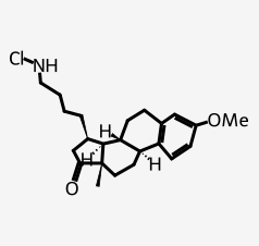 COc1ccc2c(c1)CC[C@H]1[C@@H]3[C@H](CCCCNCl)CC(=O)[C@@]3(C)CC[C@H]21